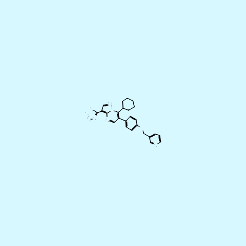 c1cncc(COc2ccc(-c3cnc4c(-c5nnn[nH]5)cnn4c3C3CCCCC3)cc2)c1